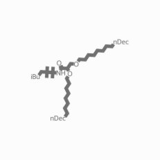 CCCCCCCCCCCCCCCCCCOCC(OCCCCCCCCCCCCCCCCCC)C(=O)NC(C)(C)C(C)(C)CC(C)CC